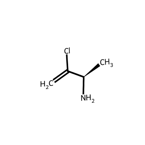 C=C(Cl)[C@@H](C)N